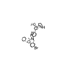 CCN(Cc1cc(Br)ccc1OCc1ccccc1)c1ccc(-c2cc(O)n(-c3ccc[nH]3)c2)nn1